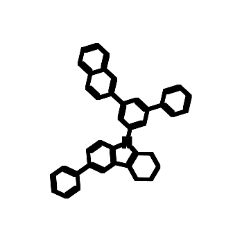 c1ccc(-c2cc(-c3ccc4ccccc4c3)cc(-n3c4c(c5cc(-c6ccccc6)ccc53)CCCC4)c2)cc1